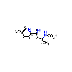 CC(CC(=N)c1ccc(C#N)cn1)NC(=O)O